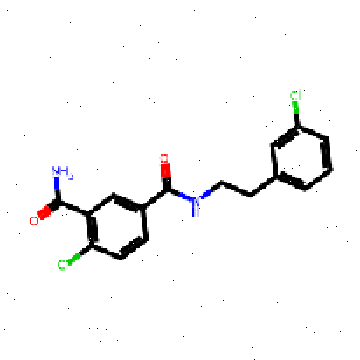 NC(=O)c1cc(C(=O)NCCc2cccc(Cl)c2)ccc1Cl